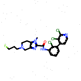 Cn1c(C(=O)Nc2cccc(-c3ccnc(Cl)c3Cl)c2Cl)nc2c1CCN(CCCF)C2